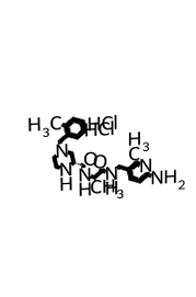 Cc1ccccc1CN1CCN[C@@H](C(=O)N[C@@H](C)C(=O)NCc2ccc(N)nc2C)C1.Cl.Cl